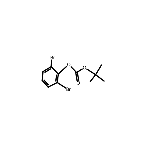 CC(C)(C)OC(=O)Oc1c(Br)cccc1Br